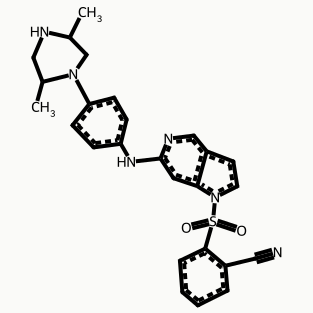 CC1CN(c2ccc(Nc3cc4c(ccn4S(=O)(=O)c4ccccc4C#N)cn3)cc2)C(C)CN1